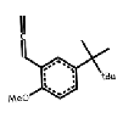 C=C=Cc1cc(C(C)(C)C(C)(C)C)ccc1OC